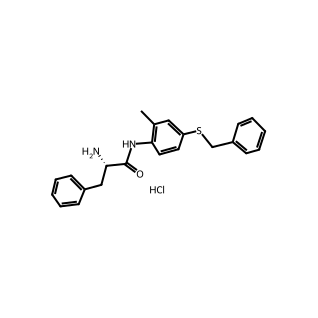 Cc1cc(SCc2ccccc2)ccc1NC(=O)[C@@H](N)Cc1ccccc1.Cl